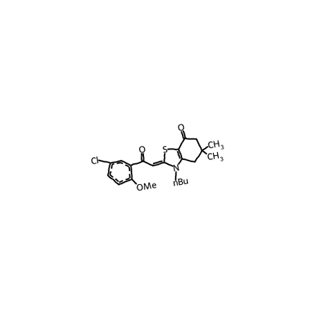 CCCCN1C(=CC(=O)c2cc(Cl)ccc2OC)SC2=C1CC(C)(C)CC2=O